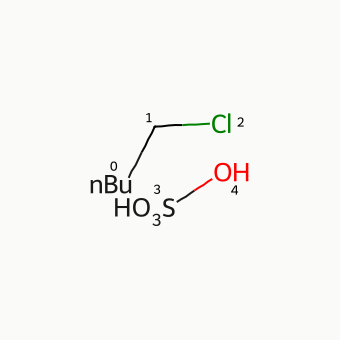 CCCCCCl.O=S(=O)(O)O